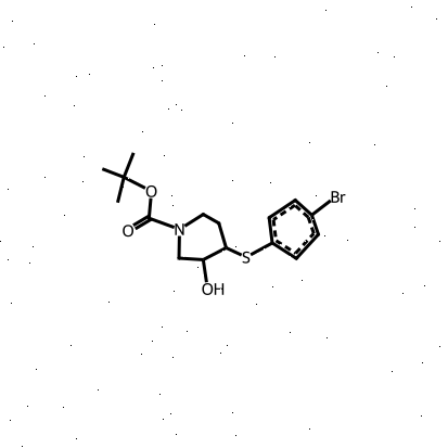 CC(C)(C)OC(=O)N1CCC(Sc2ccc(Br)cc2)C(O)C1